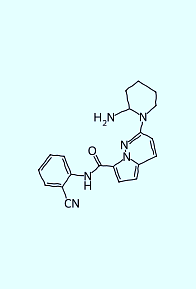 N#Cc1ccccc1NC(=O)c1ccc2ccc(N3CCCCC3N)nn12